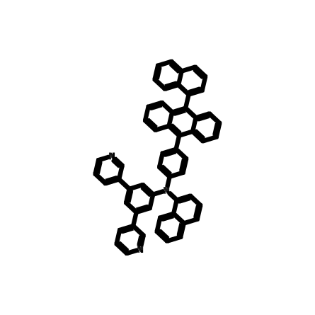 c1cncc(-c2cc(-c3cccnc3)cc(N(c3ccc(-c4c5ccccc5c(-c5cccc6ccccc56)c5ccccc45)cc3)c3cccc4ccccc34)c2)c1